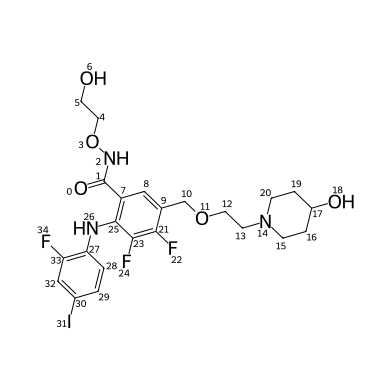 O=C(NOCCO)c1cc(COCCN2CCC(O)CC2)c(F)c(F)c1Nc1ccc(I)cc1F